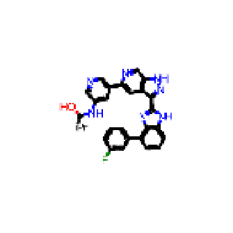 CC(C)C(O)Nc1cncc(-c2cc3c(-c4nc5c(-c6cccc(F)c6)cccc5[nH]4)n[nH]c3cn2)c1